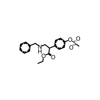 CCOC(=O)C(CNCc1ccccc1)c1ccc(OS(C)(=O)=O)cc1